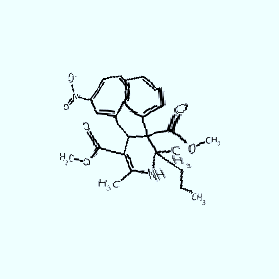 CCCC1(C)NC(C)=C(C(=O)OC)C(c2cccc([N+](=O)[O-])c2)C1(C(=O)OC)c1ccccc1